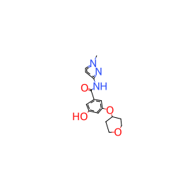 Cn1ccc(NC(=O)c2cc(O)cc(OC3CCOCC3)c2)n1